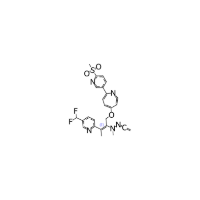 C=C=NN(C)/C(COC1=CC=C(c2ccc(S(C)(=O)=O)nc2)N=C=C1)=C(\C)c1ccc(C(F)F)cn1